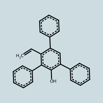 C=Cc1c(-c2ccccc2)cc(-c2ccccc2)c(O)c1-c1ccccc1